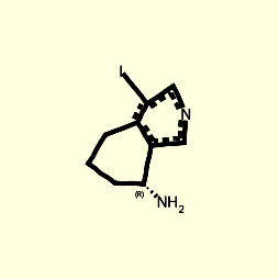 N[C@@H]1CCCc2c(I)cncc21